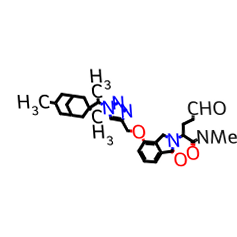 CNC(=O)C(CCC=O)N1Cc2c(OCc3cn(C(C)C4(C)CC5CC(C)CC(C5)C4)nn3)cccc2C1=O